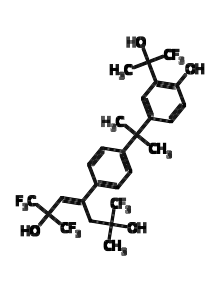 CC(C)(c1ccc(/C(=C/C(O)(C(F)(F)F)C(F)(F)F)CC(C)(O)C(F)(F)F)cc1)c1ccc(O)c(C(C)(O)C(F)(F)F)c1